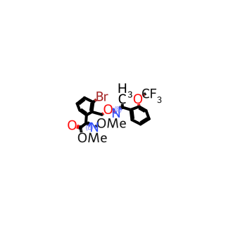 CO/N=C(/C(=O)OC)c1cccc(Br)c1CO/N=C(\C)c1ccccc1OC(F)(F)F